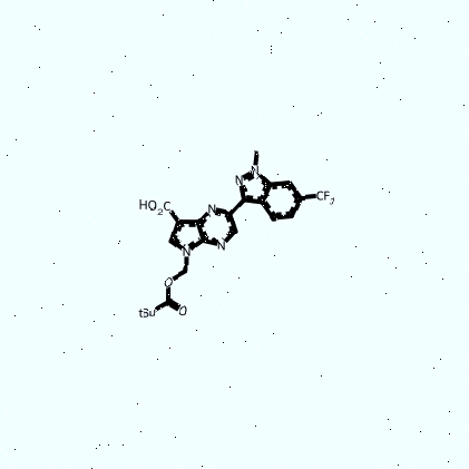 Cn1nc(-c2cnc3c(n2)c(C(=O)O)cn3COC(=O)C(C)(C)C)c2ccc(C(F)(F)F)cc21